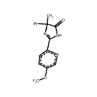 CC(C)C1(C)N=C(c2ccc(OC(F)(F)F)cn2)NC1=O